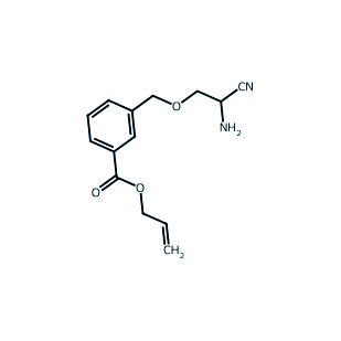 C=CCOC(=O)c1cccc(COCC(N)C#N)c1